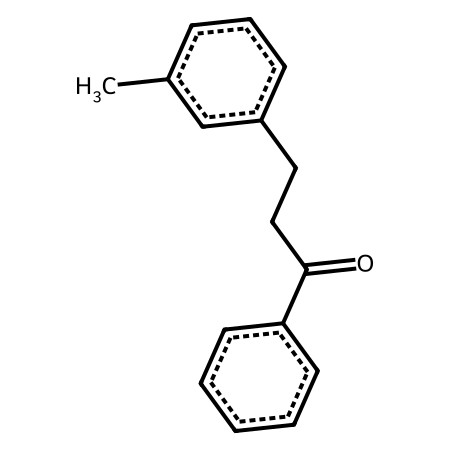 Cc1cccc(CCC(=O)c2ccccc2)c1